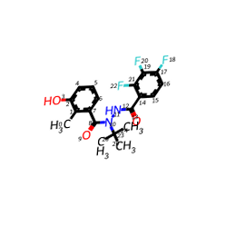 Cc1c(O)cccc1C(=O)N(NC(=O)c1ccc(F)c(F)c1F)C(C)(C)C